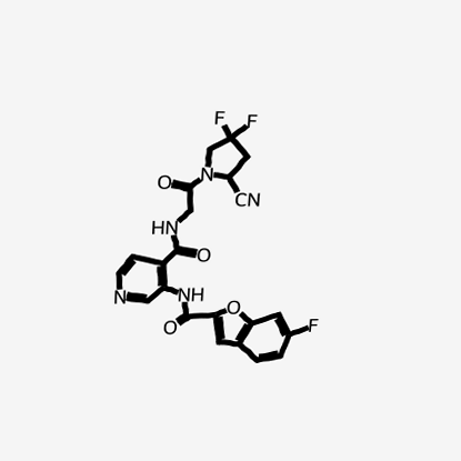 N#CC1CC(F)(F)CN1C(=O)CNC(=O)c1ccncc1NC(=O)c1cc2ccc(F)cc2o1